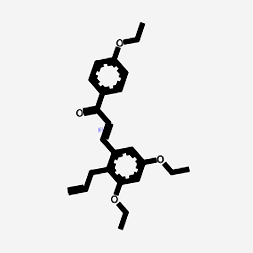 C=CCc1c(/C=C/C(=O)c2ccc(OCC)cc2)cc(OCC)cc1OCC